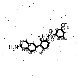 Nc1ncc2cc(-c3c(F)ccc(NS(=O)(=O)c4cc(F)cc(C(F)(F)F)c4)c3F)ccc2n1